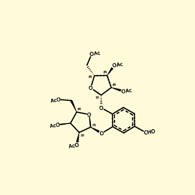 CC(=O)OC[C@H]1O[C@@H](Oc2cc(C=O)ccc2O[C@@H]2O[C@H](COC(C)=O)[C@@H](OC(C)=O)[C@H]2OC(C)=O)[C@@H](OC(C)=O)C1OC(C)=O